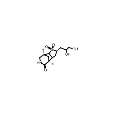 O=C1NC[C@@H]2C[C@H]1C1C[C@H](CC(O)CO)S(=O)(=O)C12